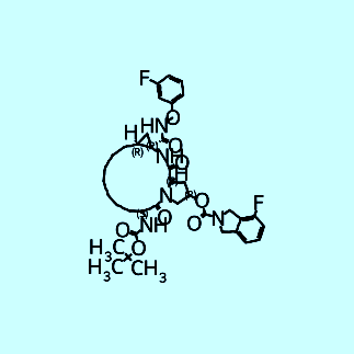 CC(C)(C)OC(=O)N[C@H]1CCCCCCC[C@@H]2C[C@@]2(C(=O)NOc2cccc(F)c2)NC(=O)[C@@H]2C[C@@H](OC(=O)N3Cc4cccc(F)c4C3)CN2C1=O